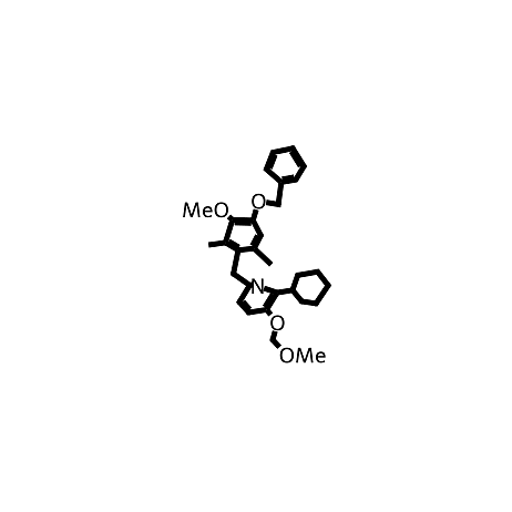 COCOc1ccc(Cc2c(C)cc(OCc3ccccc3)c(OC)c2C)nc1C1CCCCC1